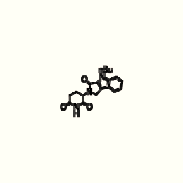 CCCCn1c2c(c3ccccc31)CN(C1CCC(=O)NC1=O)C2=O